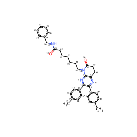 Cc1ccc(-c2nc3c(nc2-c2ccc(C)cc2)N(CCCCCCC(=O)NCc2ccccc2)C(=O)CC3)cc1